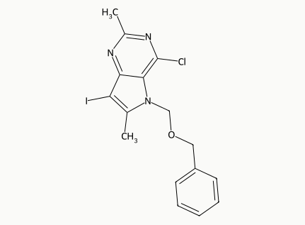 Cc1nc(Cl)c2c(n1)c(I)c(C)n2COCc1ccccc1